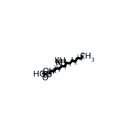 CCCCCCCCCCCCCOP(=O)(O)O.[KH].[KH]